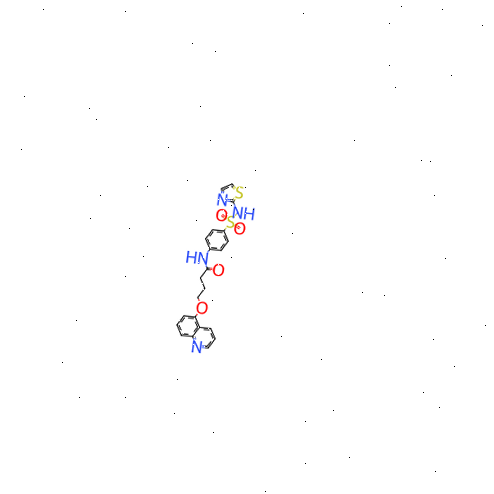 O=C(CCCOc1cccc2ncccc12)Nc1ccc(S(=O)(=O)Nc2nccs2)cc1